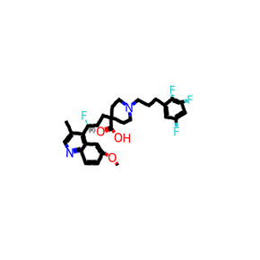 COc1ccc2ncc(C)c([C@H](F)CCC3(C(=O)O)CCN(CCCc4cc(F)cc(F)c4F)CC3)c2c1